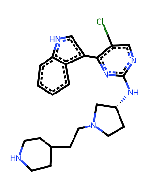 Clc1cnc(N[C@@H]2CCN(CCC3CCNCC3)C2)nc1-c1c[nH]c2ccccc12